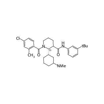 CNC1CCCC([C@H]2C(C(=O)Nc3cccc(C(C)(C)C)c3)CCCN2C(=O)c2ccc(Cl)cc2C)C1